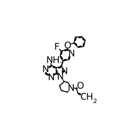 C=CC(=O)N1CCC[C@@H](n2nc(-c3cnc(Oc4ccccc4)c(F)c3)c3c(N)ncnc32)C1